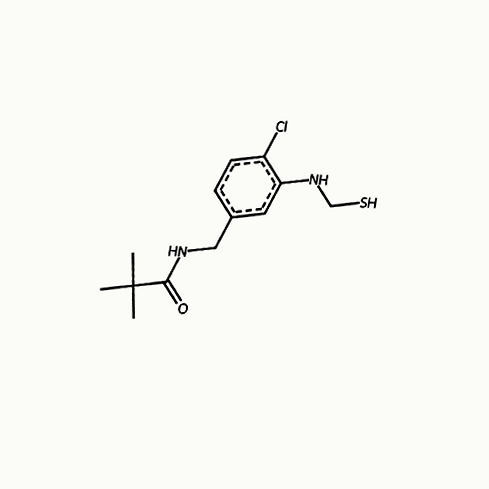 CC(C)(C)C(=O)NCc1ccc(Cl)c(NCS)c1